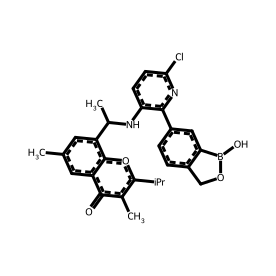 Cc1cc(C(C)Nc2ccc(Cl)nc2-c2ccc3c(c2)B(O)OC3)c2oc(C(C)C)c(C)c(=O)c2c1